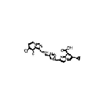 O=C(O)c1cc(C2CC2)cn2cc(Cn3cc(CNCc4ncn5ccc(Cl)c(F)c45)nn3)nc12